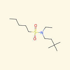 CCCCCS(=O)(=O)N(CC)CCC(C)(C)C